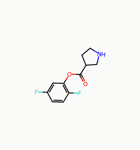 O=C(Oc1cc(F)ccc1F)C1CCNC1